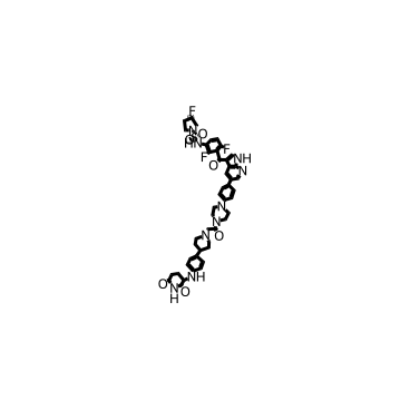 O=C1CCC(Nc2ccc(C3CCN(CC(=O)N4CCN(c5ccc(-c6cnc7[nH]cc(C(=O)c8c(F)ccc(NS(=O)(=O)N9CC[C@@H](F)C9)c8F)c7c6)cc5)CC4)CC3)cc2)C(=O)N1